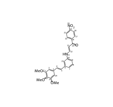 COc1cc(C=Cc2cccc(NC=CC(=O)c3ccc([N+](=O)[O-])cc3)c2)cc(OC)c1OC